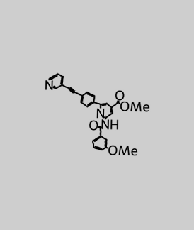 COC(=O)c1cc(NC(=O)c2cccc(OC)c2)nc(-c2ccc(C#Cc3cccnc3)cc2)c1